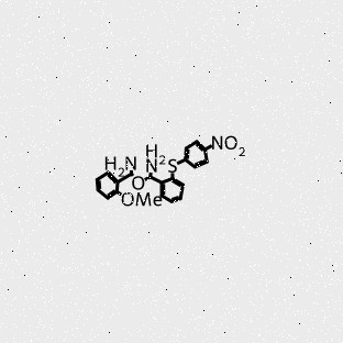 COc1ccccc1C(N)OC(N)c1ccccc1Sc1ccc([N+](=O)[O-])cc1